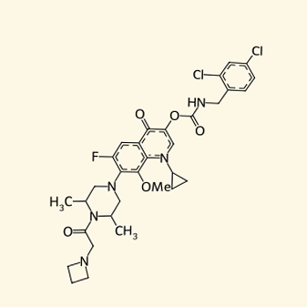 COc1c(N2CC(C)N(C(=O)CN3CCC3)C(C)C2)c(F)cc2c(=O)c(OC(=O)NCc3ccc(Cl)cc3Cl)cn(C3CC3)c12